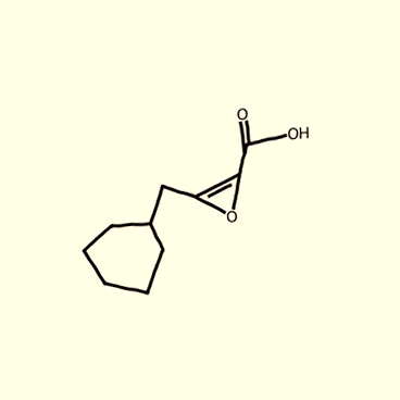 O=C(O)C1=C(CC2CCCCC2)O1